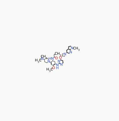 C=CC(=O)NC1CC(Nc2nccc(OC3CN(c4cnc5c(ccn5C)c4)C3)n2)=C(OC)C=C1N1CCC(N(C)C)CC1